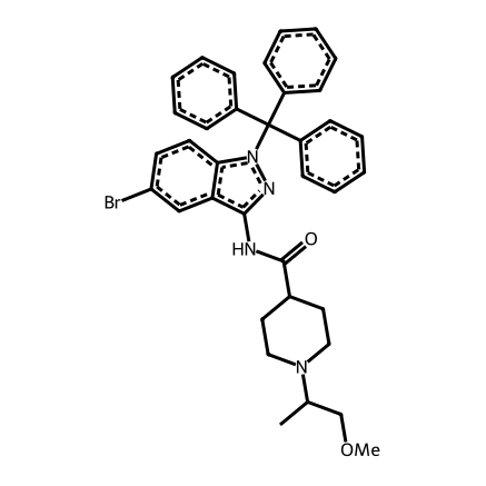 COCC(C)N1CCC(C(=O)Nc2nn(C(c3ccccc3)(c3ccccc3)c3ccccc3)c3ccc(Br)cc23)CC1